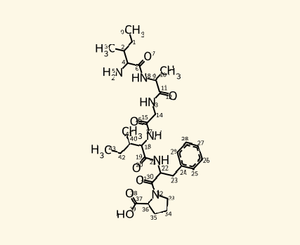 CCC(C)C(N)C(=O)NC(C)C(=O)NCC(=O)NC(C(=O)NC(Cc1ccccc1)C(=O)N1CCCC1C(=O)O)C(C)CC